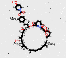 C=C1[C@H](C)C[C@H](C)/C=C/C=C/C=C(\C)[C@@H](OC)C[C@@H]2CC[C@@H](C)[C@@](O)(O2)C(=O)C(=O)N2CCCC[C@H]2C(=O)O[C@H]([C@H](C)C[C@@H]2CC[C@@H](OC(=O)N3CCC(O)CC3)[C@H](OC)C2)CC(=O)[C@H](C)/C=C(\C)[C@@H](O)[C@H]1OC